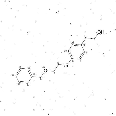 OCCc1ccc(SCCOCc2ccccc2)cc1